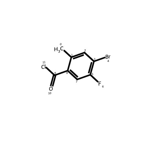 Cc1cc(Br)c(F)cc1C(=O)Cl